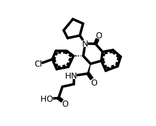 O=C(O)CCNC(=O)[C@@H]1c2ccccc2C(=O)N(C2CCCC2)[C@H]1c1ccc(Cl)cc1